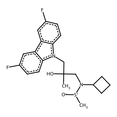 C[S+]([O-])N(CC(C)(O)Cn1c2ccc(F)cc2c2cc(F)ccc21)C1CCC1